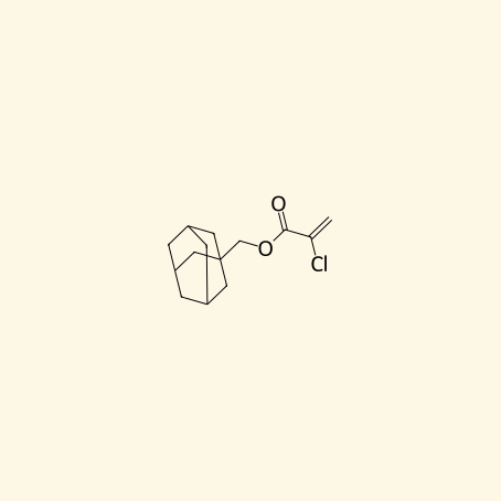 C=C(Cl)C(=O)OCC12CC3CC(CC(C3)C1)C2